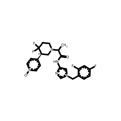 CC(C(=O)Nc1cn(Cc2ccc(F)cc2F)cn1)N1CCC(F)(F)[C@H](c2cc[n+]([O-])cc2)C1